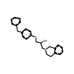 OC(COc1ccc(Cc2ccccc2)cc1)CN1CCc2ccccc2C1